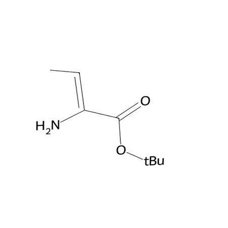 CC=C(N)C(=O)OC(C)(C)C